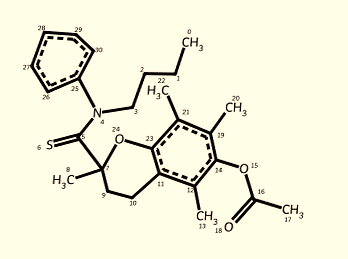 CCCCN(C(=S)C1(C)CCc2c(C)c(OC(C)=O)c(C)c(C)c2O1)c1ccccc1